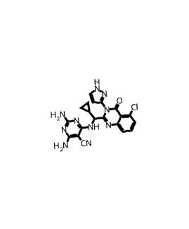 N#Cc1c(N)nc(N)nc1NC(c1nc2cccc(Cl)c2c(=O)n1-c1cc[nH]n1)C1CC1